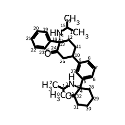 CC(C)N[C@@]1(c2cccc(C3CC[C@](NC(C)C)(c4ccccc4)C(=O)C3)c2)CCCCC1=O